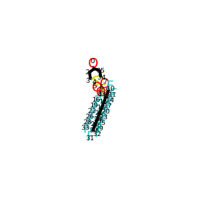 O=C1CC[S+](OS(=O)(=O)C(F)(F)C(F)(F)C(F)(F)C(F)(F)C(F)(F)C(F)(F)C(F)(F)C(F)(F)F)CC1